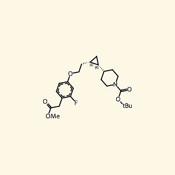 COC(=O)Cc1ccc(OCC[C@@H]2C[C@@H]2C2CCN(C(=O)OC(C)(C)C)CC2)cc1F